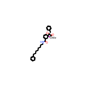 COC(=O)[C@@]1(Cc2ccccc2)OC2=CC=C(C(=O)NCCCCCCCCc3ccccc3)CC21I